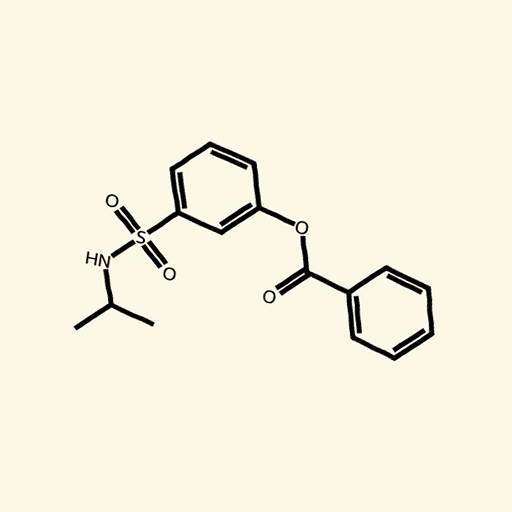 CC(C)NS(=O)(=O)c1cccc(OC(=O)c2ccccc2)c1